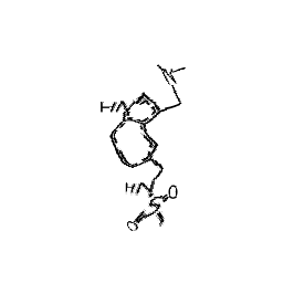 CN(C)Cc1c[nH]c2ccc(CNS(C)(=O)=O)cc12